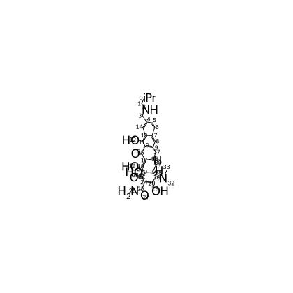 CC(C)CNCc1ccc2cc3c(c(O)c2c1)C(=O)C1=C(O)[C@]2(O)C(=O)C(C(N)=O)=C(O)[C@@H](N(C)C)[C@@H]2C[C@@H]1C3